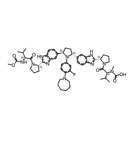 COC(=O)N[C@H](C(=O)N1CCC[C@H]1c1nc2cc([C@H]3CC[C@H](c4ccc5nc([C@@H]6CCCN6C(=O)[C@H](C(C)C)N(C)C(=O)O)[nH]c5c4)N3c3ccc(N4CCCCCC4)c(F)c3)ccc2[nH]1)C(C)C